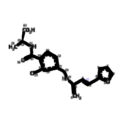 C=C(/C=C/c1ccco1)NCc1ccc(C(=O)N[C@@H](C)C(=O)O)c(Cl)c1